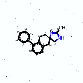 CC1=N[C@]2(CCc3c(cccc3-c3ccccc3)C2)CN1